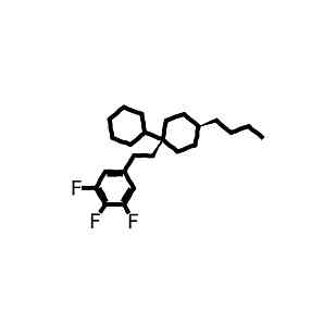 CCCC[C@H]1CC[C@](CCc2cc(F)c(F)c(F)c2)(C2CCCCC2)CC1